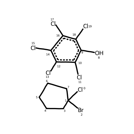 ClC1(Br)CCCCC1.Oc1c(Cl)c(Cl)c(Cl)c(Cl)c1Cl